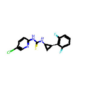 Fc1cccc(F)c1[C@H]1C[C@H]1NC(=S)Nc1ccc(Cl)cn1